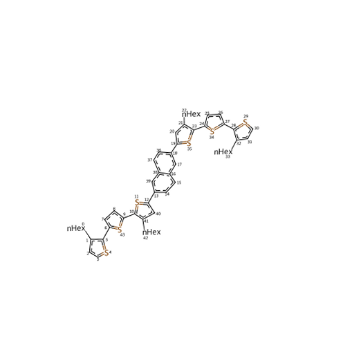 CCCCCCc1ccsc1-c1ccc(-c2sc(-c3ccc4cc(-c5cc(CCCCCC)c(-c6ccc(-c7sccc7CCCCCC)s6)s5)ccc4c3)cc2CCCCCC)s1